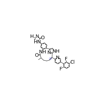 CC1CC/C=C(/c2ccc(-c3c(F)ccc(Cl)c3F)cn2)c2nc(c[nH]2)-c2ccc(NC(N)=O)cc2NC1=O